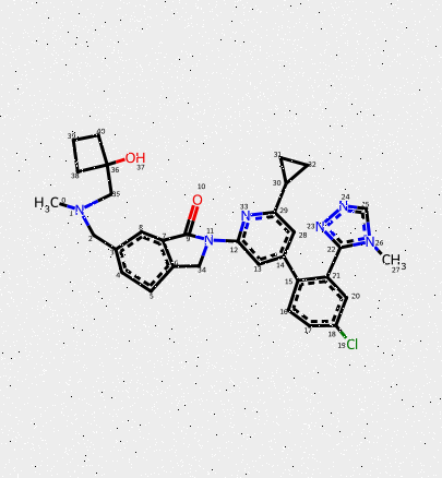 CN(Cc1ccc2c(c1)C(=O)N(c1cc(-c3ccc(Cl)cc3-c3nncn3C)cc(C3CC3)n1)C2)CC1(O)CCC1